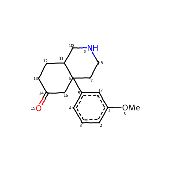 COc1cccc(C23CCNCC2CCC(=O)C3)c1